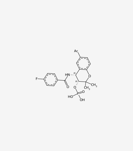 CC(=O)c1ccc2c(c1)[C@@H](NC(=O)c1ccc(F)cc1)[C@@H](OP(=O)(O)O)C(C)(C)O2